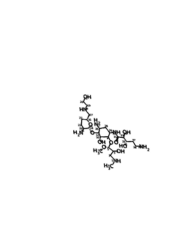 CNCC(O)[C@H](OC)OC1C(O)C(O[C@H]2O[C@H](CNCCO)CCC2N)[C@@H](N)C[C@H]1NC(=O)[C@@H](O)[C@@H](O)CCN